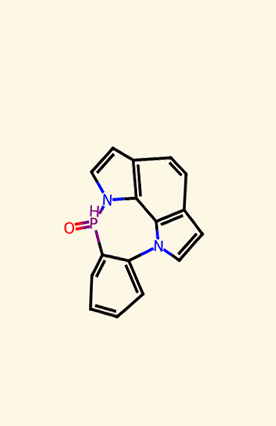 O=[PH]1c2ccccc2-n2ccc3ccc4ccn1c4c32